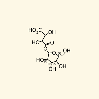 O=C(O)C(O)C(O)C(=O)OC1O[C@H](CO)[C@@H](O)[C@H](O)[C@H]1O